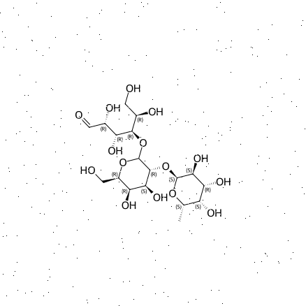 C[C@@H]1O[C@@H](O[C@H]2C(O[C@@H]([C@H](O)[C@@H](O)C=O)[C@H](O)CO)O[C@H](CO)[C@H](O)[C@@H]2O)[C@@H](O)[C@H](O)[C@@H]1O